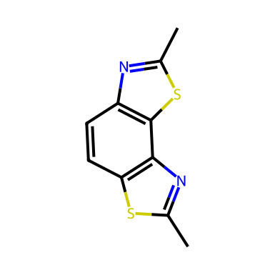 Cc1nc2c(ccc3nc(C)sc32)s1